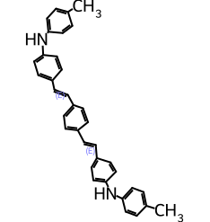 Cc1ccc(Nc2ccc(/C=C/c3ccc(/C=C/c4ccc(Nc5ccc(C)cc5)cc4)cc3)cc2)cc1